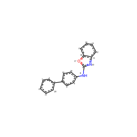 c1ccc(-c2ccc(Nc3nc4ccccc4o3)cc2)cc1